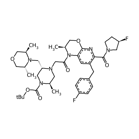 C[C@@H]1CN(CC(=O)N2c3cc(Cc4ccc(F)cc4)c(C(=O)N4CC[C@@H](F)C4)nc3OC[C@@H]2C)[C@@H](CN2[C@H](C)COC[C@H]2C)CN1C(=O)OC(C)(C)C